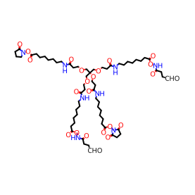 O=CCCC(=O)NOC(=O)CCCCCCCNC(=O)CCOCC(COCCC(=O)NCCCCCCCC(=O)ONC(=O)CCC=O)(COCCC(=O)NCCCCCCCC(=O)ON1CCCC1=O)OCCC(=O)NCCCCCCCC(=O)ON1C(=O)CCC1=O